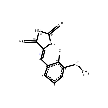 COc1cccc(/C=C2\SC(=S)NC2=O)c1F